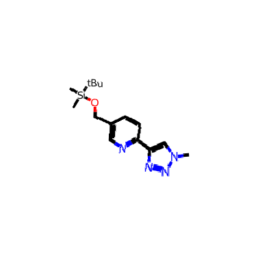 Cn1cc(-c2ccc(CO[Si](C)(C)C(C)(C)C)cn2)nn1